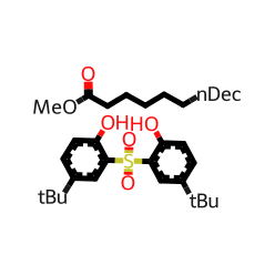 CC(C)(C)c1ccc(O)c(S(=O)(=O)c2cc(C(C)(C)C)ccc2O)c1.CCCCCCCCCCCCCCCC(=O)OC